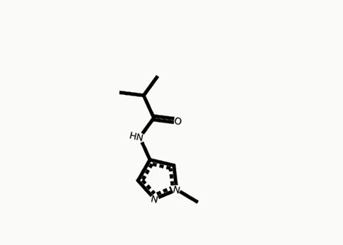 CC(C)C(=O)Nc1cnn(C)c1